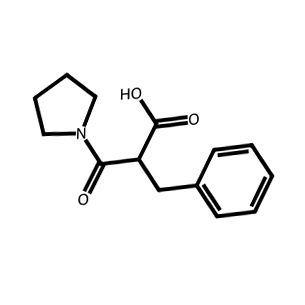 O=C(O)C(Cc1ccccc1)C(=O)N1CCCC1